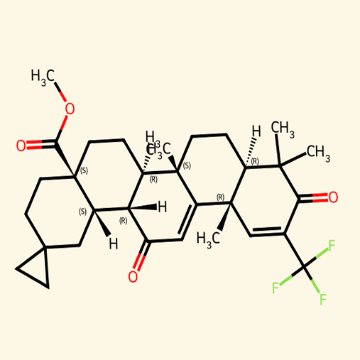 COC(=O)[C@]12CCC3(CC3)C[C@H]1[C@H]1C(=O)C=C3[C@@]4(C)C=C(C(F)(F)F)C(=O)C(C)(C)[C@@H]4CC[C@@]3(C)[C@]1(C)CC2